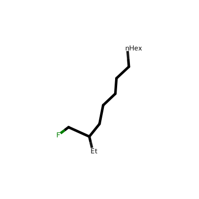 CCCCCCCCCCCC(CC)CF